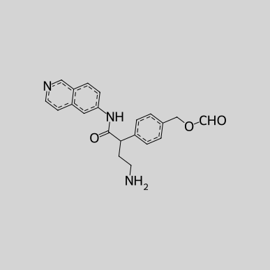 NCCC(C(=O)Nc1ccc2cnccc2c1)c1ccc(COC=O)cc1